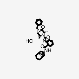 C[C@H]1CN(Cc2ccccc2)C(=O)[C@H](C)N1c1nc2c(C(=O)NC3CC4CCCC(C3)N4C)cccc2o1.Cl